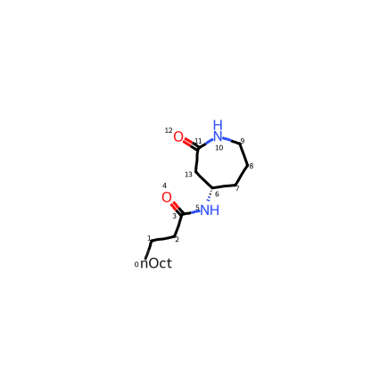 CCCCCCCCCCC(=O)N[C@H]1CCCNC(=O)C1